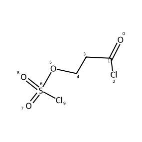 O=C(Cl)CCOS(=O)(=O)Cl